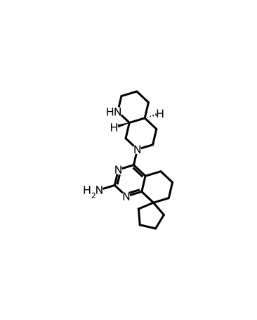 Nc1nc(N2CC[C@@H]3CCCN[C@H]3C2)c2c(n1)C1(CCCC1)CCC2